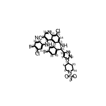 CS(=O)(=O)N1CCC(n2cc(C(Nc3cc(Cl)c4ncc(C#N)c(Nc5ccc(F)c(Cl)c5)c4c3)c3ccc(F)cc3)nn2)CC1